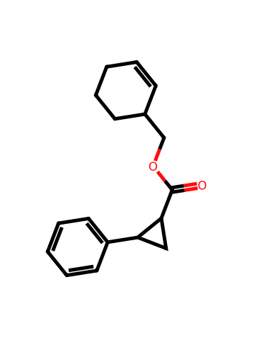 O=C(OCC1C=CCCC1)C1CC1c1ccccc1